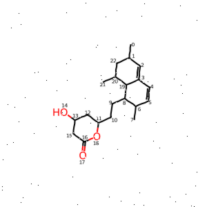 CC1C=C2C=CC(C)C(CCC3CC(O)CC(=O)O3)C2C(C)C1